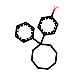 Oc1ccc(C2(c3ccccc3)CCCCCCC2)cc1